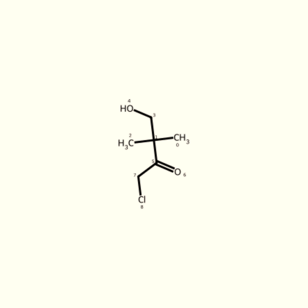 CC(C)(CO)C(=O)CCl